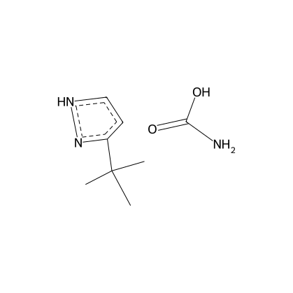 CC(C)(C)c1cc[nH]n1.NC(=O)O